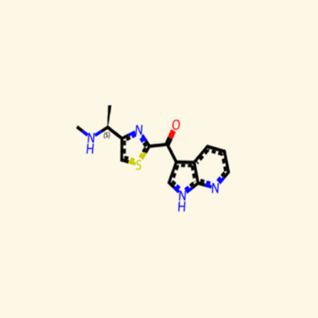 CN[C@@H](C)c1csc(C(=O)c2c[nH]c3ncccc23)n1